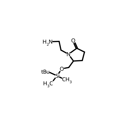 CC(C)(C)[Si](C)(C)OCC1CCC(=O)N1CCN